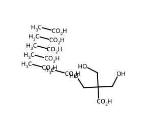 CC(=O)O.CC(=O)O.CC(=O)O.CC(=O)O.CC(=O)O.CC(=O)O.O=C(O)C(CO)(CO)CO